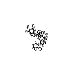 O=C1OCCCN1c1cnn2c1CN(C(O)Nc1cc(F)c(F)c(F)c1)[C@H]1CCC[C@H]12